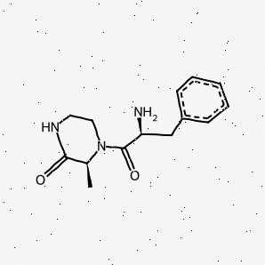 C[C@H]1C(=O)NCCN1C(=O)[C@@H](N)Cc1ccccc1